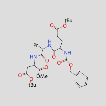 COC(=O)C(CC(=O)OC(C)(C)C)NC(=O)C(NC(=O)C(CCC(=O)OC(C)(C)C)NC(=O)OCc1ccccc1)C(C)C